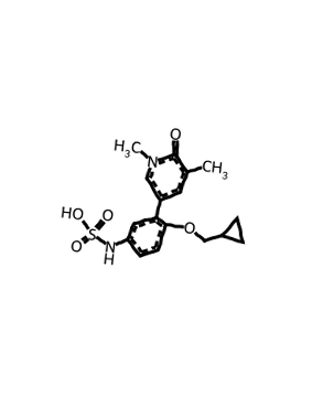 Cc1cc(-c2cc(NS(=O)(=O)O)ccc2OCC2CC2)cn(C)c1=O